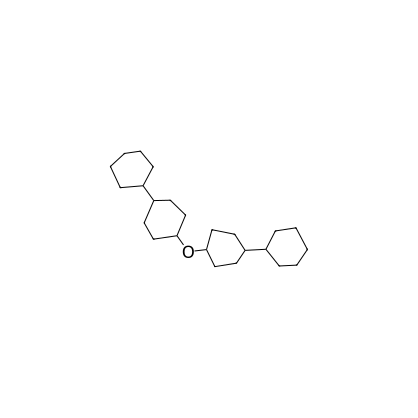 C1CCC(C2CCC(OC3CCC(C4CCCCC4)CC3)CC2)CC1